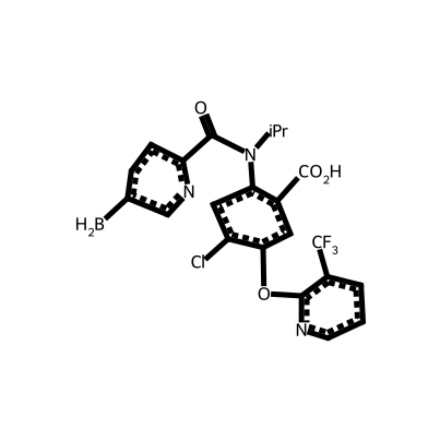 Bc1ccc(C(=O)N(c2cc(Cl)c(Oc3ncccc3C(F)(F)F)cc2C(=O)O)C(C)C)nc1